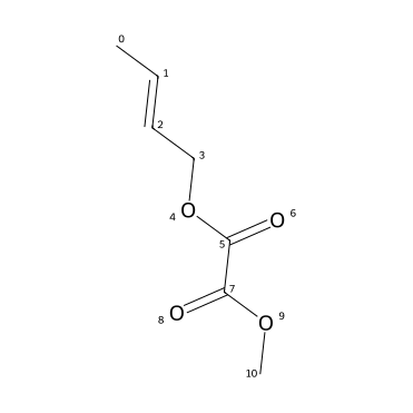 C/C=C/COC(=O)C(=O)OC